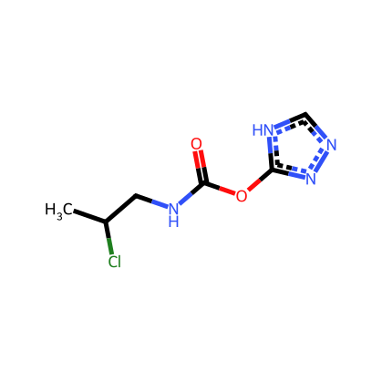 CC(Cl)CNC(=O)Oc1nnc[nH]1